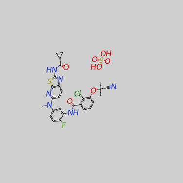 CN(c1ccc(F)c(NC(=O)c2cccc(OC(C)(C)C#N)c2Cl)c1)c1ccc2nc(NC(=O)C3CC3)sc2n1.O=S(=O)(O)O